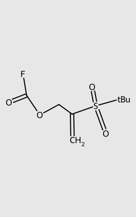 C=C(COC(=O)F)S(=O)(=O)C(C)(C)C